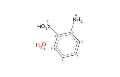 Nc1ccccc1S(=O)(=O)O.O